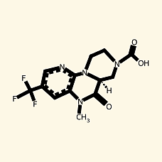 CN1C(=O)[C@@H]2CN(C(=O)O)CCN2c2ncc(C(F)(F)F)cc21